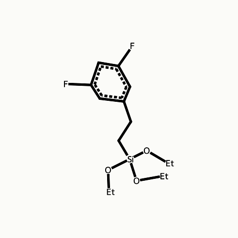 CCO[Si](CCc1cc(F)cc(F)c1)(OCC)OCC